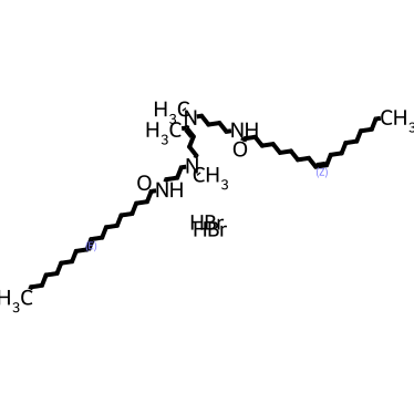 Br.Br.CCCCCCCC/C=C\CCCCCCCC(=O)NCCCCN(C)C(C)=CCCN(C)CCCNC(=O)CCCCCCC/C=C/CCCCCCCC